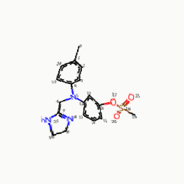 Cc1ccc(N(CC2=NCCN2)c2cccc(OS(C)(=O)=O)c2)cc1